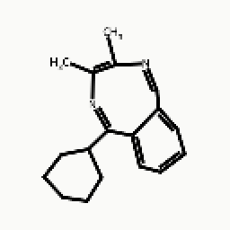 CC1=C(C)N=C(C2CCCCC2)c2ccccc2C=N1